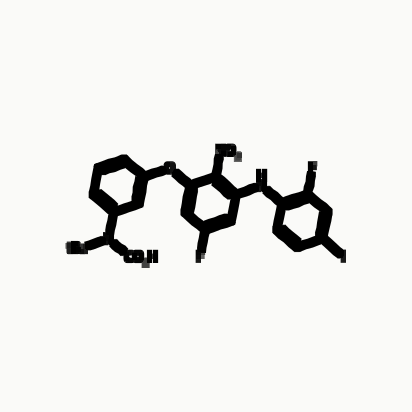 CC(C)(C)N(C(=O)O)c1cccc(Oc2cc(F)cc(Nc3ccc(I)cc3F)c2[N+](=O)[O-])c1